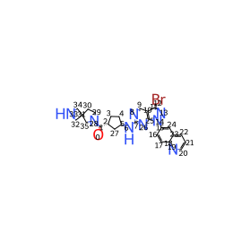 O=C([C@@H]1CC[C@@H](Nc2ncc3c(Br)nn(-c4ccc5ncccc5c4)c3n2)C1)N1CCC2(CNC2)C1